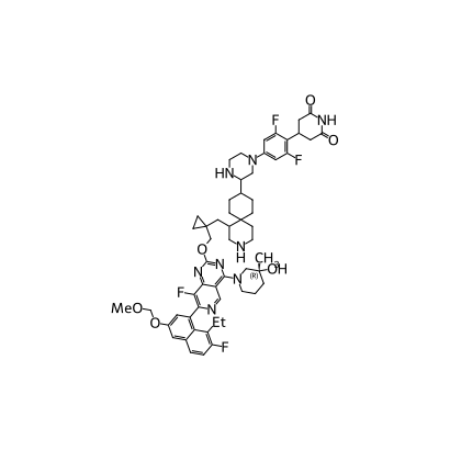 CCc1c(F)ccc2cc(OCOC)cc(-c3ncc4c(N5CCC[C@@](C)(O)C5)nc(OCC5(CC6CNCCC67CCC(C6CN(c8cc(F)c(C9CC(=O)NC(=O)C9)c(F)c8)CCN6)CC7)CC5)nc4c3F)c12